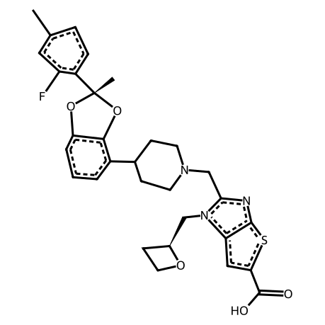 Cc1ccc([C@@]2(C)Oc3cccc(C4CCN(Cc5nc6sc(C(=O)O)cc6n5C[C@@H]5CCO5)CC4)c3O2)c(F)c1